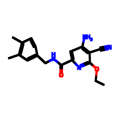 CCOc1nc(C(=O)NCc2ccc(C)c(C)c2)cc(N)c1C#N